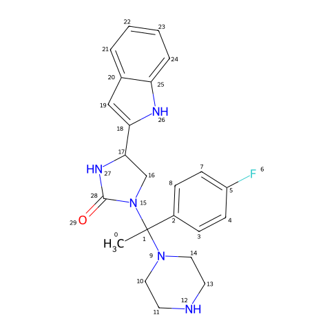 CC(c1ccc(F)cc1)(N1CCNCC1)N1CC(c2cc3ccccc3[nH]2)NC1=O